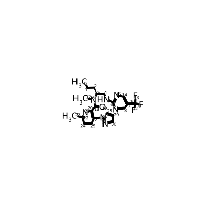 CCC[C@@H](CNc1ncc(C(F)(F)F)cn1)N(C)C(=O)c1nc(C)ccc1-n1cccn1